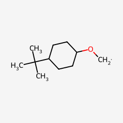 [CH2]OC1CCC(C(C)(C)C)CC1